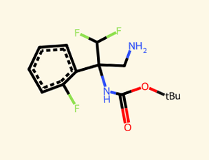 CC(C)(C)OC(=O)NC(CN)(c1ccccc1F)C(F)F